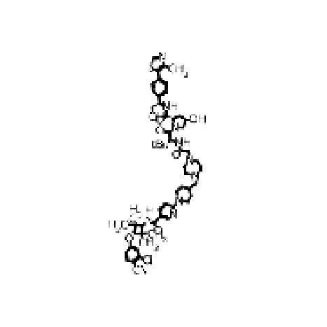 Cc1ncsc1-c1ccc([C@H](CO)NC(=O)[C@@H]2C[C@@H](O)CN2C(=O)C(NC(=O)CN2CCN(CC3CCN(c4ccc(C(=O)NC5C(C)(C)C(Oc6ccc(C#N)c(Cl)c6)C5(C)C)cn4)CC3)CC2)C(C)(C)C)cc1